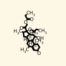 CCC(=O)OCC(=O)[C@@]1(OC(=O)CC)C(C)C[C@H]2[C@@H]3CC(C)C4=CC(=O)CC[C@]4(C)[C@@]3(F)C(O)C[C@@]21C